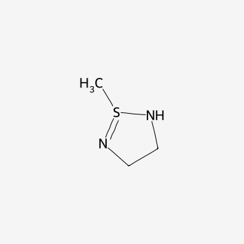 CS1=NCCN1